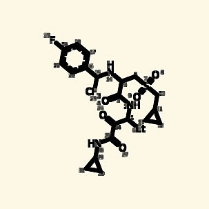 CCC(NC(=O)C(CS(=O)(=O)CC1CC1)NC(c1ccc(F)cc1)C(F)(F)F)C(=O)C(=O)NC1CC1